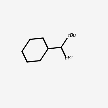 CCCC(C1CCCCC1)C(C)(C)C